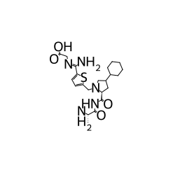 C[C@H](N)C(=O)NC(=O)[C@@H]1CC(C2CCCCC2)CN1Cc1ccc(C(N)=NCC(=O)O)s1